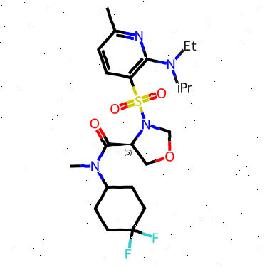 CCN(c1nc(C)ccc1S(=O)(=O)N1COC[C@H]1C(=O)N(C)C1CCC(F)(F)CC1)C(C)C